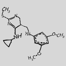 COc1cc(NCC2CN=C(SC)N=C2NC2CC2)cc(OC)c1